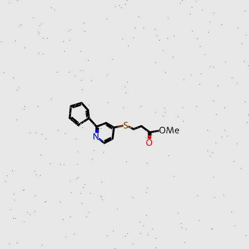 COC(=O)CCSc1ccnc(-c2ccccc2)c1